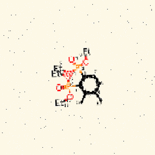 CCOP(=O)(OCC)c1ccc(C)c(C)c1P(=O)(OCC)OCC